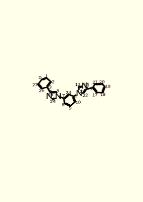 c1ccc(-c2cn(-c3cccc(-n4cnc(-c5ccccc5)c4)c3)cn2)cc1